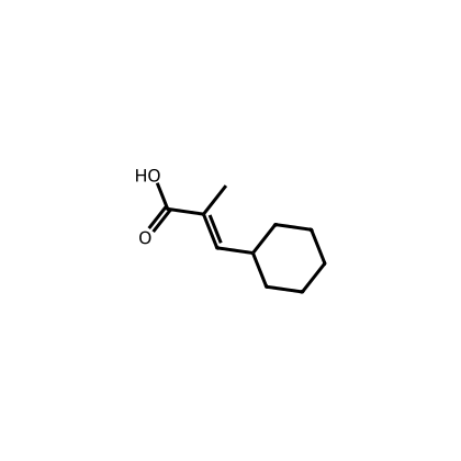 C/C(=C\C1CCCCC1)C(=O)O